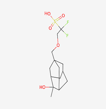 CC1(O)C2CC3CC1CC(COCC(F)(F)S(=O)(=O)O)(C3)C2